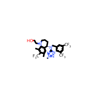 Cc1cc2c(c(C)c1C(F)(F)F)N(CCO)CCC[C@@H]2N(Cc1cc(C(F)(F)F)cc(C(F)(F)F)c1)c1nnn(C)n1